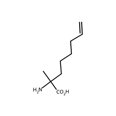 C=CCCCCC(C)(N)C(=O)O